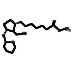 COC(=O)CCCCCC[C@H]1CC[C@@H](OC2CCCCO2)[C@@H]1CO